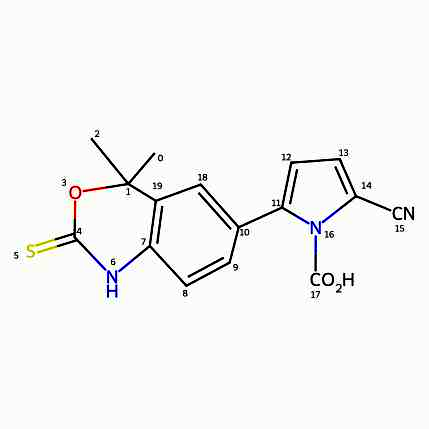 CC1(C)OC(=S)Nc2ccc(-c3ccc(C#N)n3C(=O)O)cc21